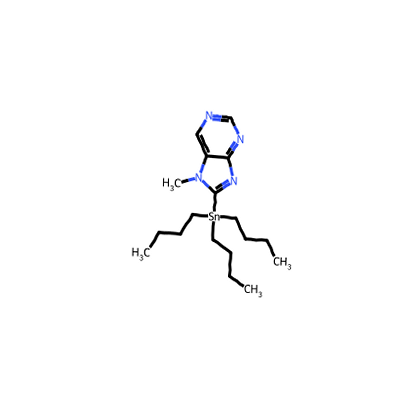 CCC[CH2][Sn]([CH2]CCC)([CH2]CCC)[c]1nc2ncncc2n1C